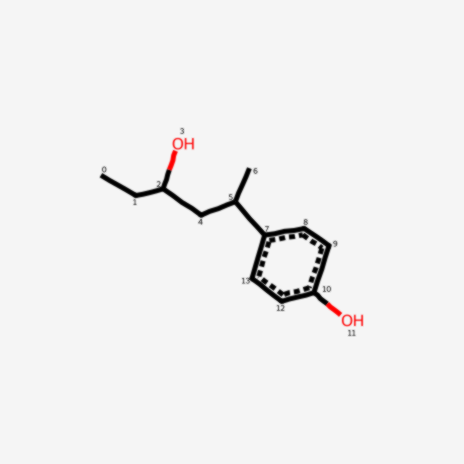 CCC(O)CC(C)c1ccc(O)cc1